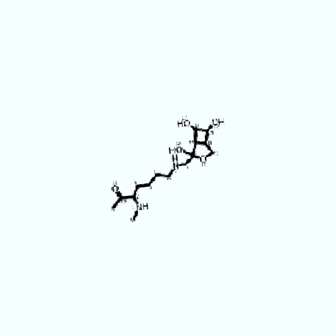 CNC(CCCCNCC1(O)OCC2C(O)C(O)C21)C(C)=O